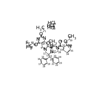 CCOc1nc(OC)c(CN2CC(C(c3ccccc3)c3ccccc3)N3CCN(C(=O)c4cccnc4OCC)C[C@H]3C2)c(OCC(F)(F)F)n1.Cl.Cl.Cl